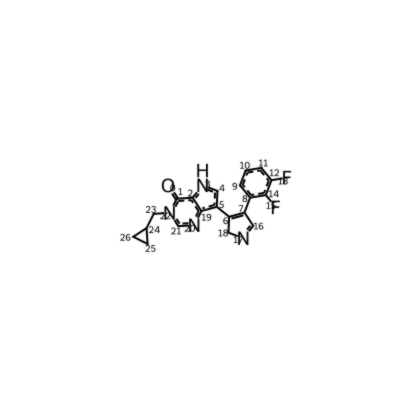 O=c1c2[nH]cc(C3=C(c4cccc(F)c4F)C=NC3)c2ncn1CC1CC1